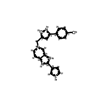 Clc1ccc(-c2cc(Cn3ccc4nc(-c5ccsc5)nc-4c3)on2)cc1